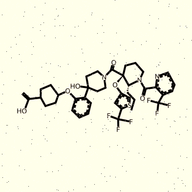 C=C(O)C1CCC(Oc2ccccc2C2(O)CCN(C(=O)[C@]3(Oc4csc(C(F)(F)F)c4)CCCN(C(=O)c4ncccc4C(F)(F)F)[C@@H]3CCC)CC2)CC1